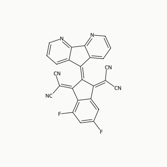 N#CC(C#N)=C1C(=C2c3cccnc3-c3ncccc32)C(=C(C#N)C#N)c2c(F)cc(F)cc21